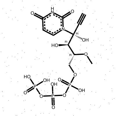 C#C[C@@](O)([C@H](O)[C@@H](COP(=O)(O)OP(=O)(O)OP(=O)(O)O)OC)n1ccc(=O)[nH]c1=O